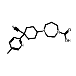 Cc1ccc(C2(C#N)CCC(N3CCCN(C(=O)O)CC3)CC2)nc1